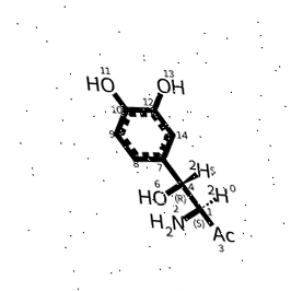 [2H][C@@](N)(C(C)=O)[C@]([2H])(O)c1ccc(O)c(O)c1